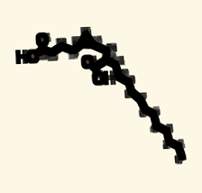 CCCCCCCCCCCCC(CC1CC1CCCC(=O)O)C(=O)O